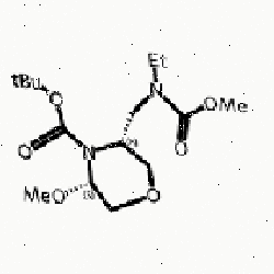 CCN(C[C@@H]1COC[C@H](OC)N1C(=O)OC(C)(C)C)C(=O)OC